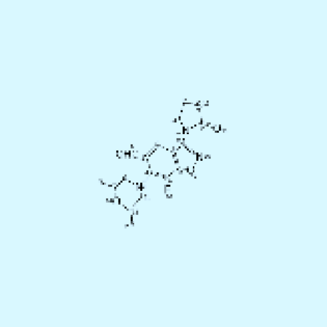 CC1CN(c2c(C=O)cc3c(N4CCSC4=O)noc3c2F)C[C@@H](C)O1